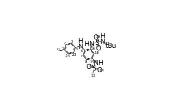 Cc1ccc(Nc2ccc(NS(C)(=O)=O)cc2NS(=O)(=O)NC(C)(C)C)cc1